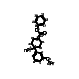 CCCC1(c2cccc(OC(C)C)c2)CCN(C(=O)Oc2ccccc2)CC1